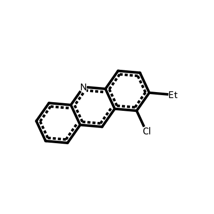 CCc1ccc2nc3ccccc3cc2c1Cl